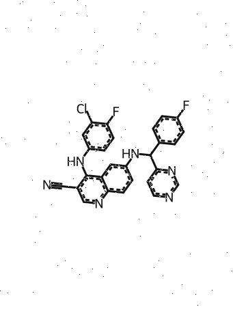 N#Cc1cnc2ccc(NC(c3ccc(F)cc3)c3ccncn3)cc2c1Nc1ccc(F)c(Cl)c1